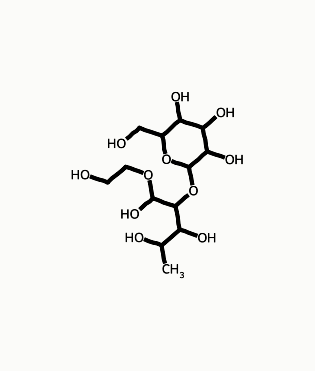 CC(O)C(O)C(OC1OC(CO)C(O)C(O)C1O)C(O)OCCO